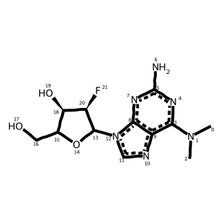 CN(C)c1nc(N)nc2c1ncn2C1OC(CO)[C@@H](O)[C@H]1F